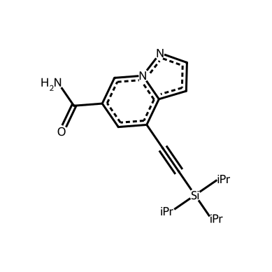 CC(C)[Si](C#Cc1cc(C(N)=O)cn2nccc12)(C(C)C)C(C)C